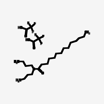 CCCCCCCCCCCCCC(=O)N(CCCN)CCCN.O=C(O)C(F)(F)F.O=C(O)C(F)(F)F